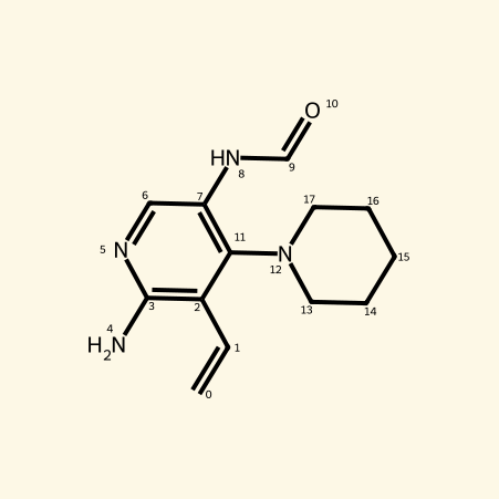 C=Cc1c(N)ncc(NC=O)c1N1CCCCC1